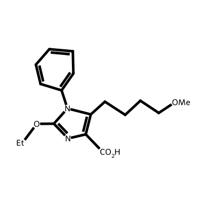 CCOc1nc(C(=O)O)c(CCCCOC)n1-c1ccccc1